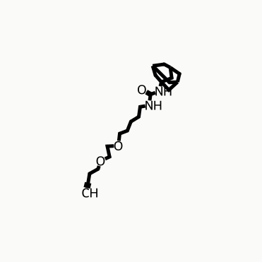 C#CCCOCCOCCCCCNC(=O)NC12CC3CC(CC(C3)C1)C2